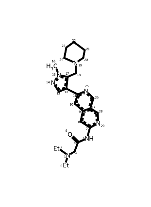 CCN(CC)CC(=O)Nc1cc2cc(-c3cnn(C)c3CN3CCCCC3)ncc2cn1